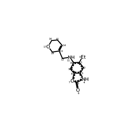 CCc1cc2[nH]c(=O)oc2cc1NCC1=CCCOC1